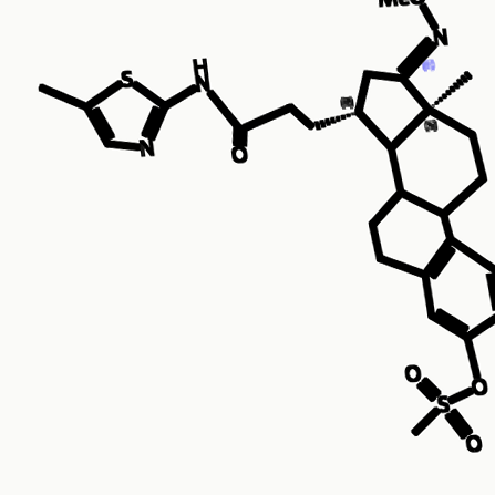 CO/N=C1\C[C@@H](CCC(=O)Nc2ncc(C)s2)C2C3CCc4cc(OS(C)(=O)=O)ccc4C3CC[C@]12C